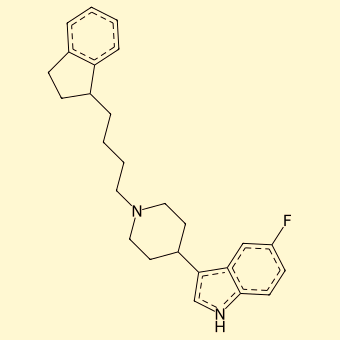 Fc1ccc2[nH]cc(C3CCN(CCCCC4CCc5ccccc54)CC3)c2c1